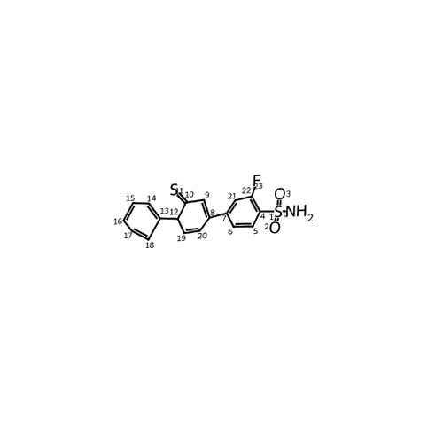 NS(=O)(=O)c1ccc(C2=CC(=S)C(c3ccccc3)C=C2)cc1F